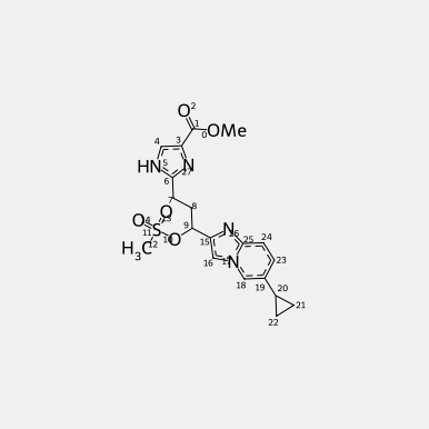 COC(=O)c1c[nH]c(CCC(OS(C)(=O)=O)c2cn3cc(C4CC4)ccc3n2)n1